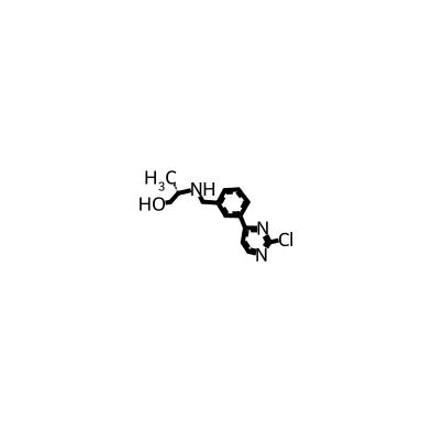 C[C@@H](CO)NCc1cccc(-c2ccnc(Cl)n2)c1